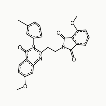 COc1ccc2c(=O)n(-c3cccc(C)c3)c(CCN3C(=O)c4cccc(OC)c4C3=O)nc2c1